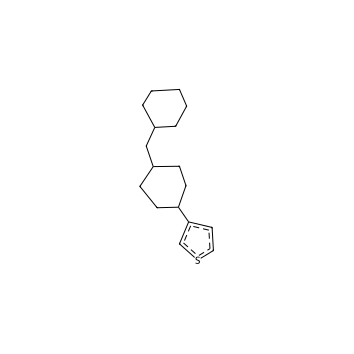 c1cc(C2CCC(CC3CCCCC3)CC2)cs1